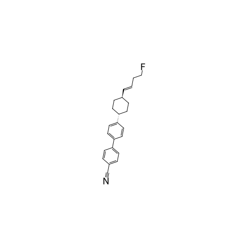 N#Cc1ccc(-c2ccc([C@H]3CC[C@H](C=CCCF)CC3)cc2)cc1